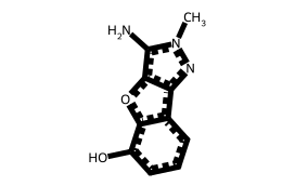 Cn1nc2c(oc3c(O)cccc32)c1N